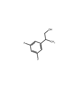 CC(CO)c1cc(F)cc(F)c1